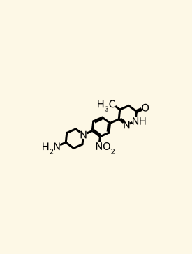 CC1CC(=O)NN=C1c1ccc(N2CCC(N)CC2)c([N+](=O)[O-])c1